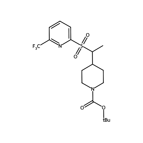 CC(C1CCN(C(=O)OC(C)(C)C)CC1)S(=O)(=O)c1cccc(C(F)(F)F)n1